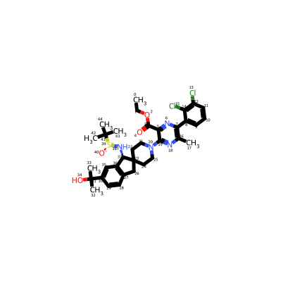 CCOC(=O)c1nc(-c2cccc(Cl)c2Cl)c(C)nc1N1CCC2(CC1)Cc1ccc(C(C)(C)O)cc1[C@H]2N[S@+]([O-])C(C)(C)C